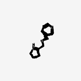 c1cncc(COC[C@H]2CCCN2)c1